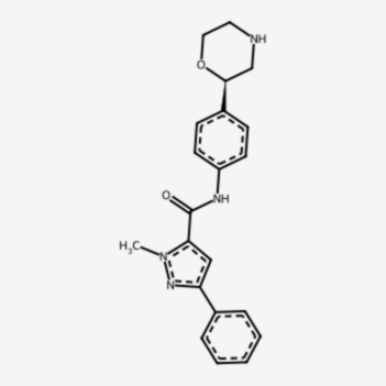 Cn1nc(-c2ccccc2)cc1C(=O)Nc1ccc([C@@H]2CNCCO2)cc1